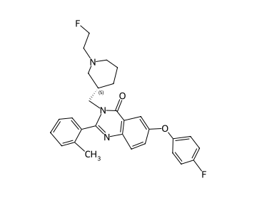 Cc1ccccc1-c1nc2ccc(Oc3ccc(F)cc3)cc2c(=O)n1C[C@H]1CCCN(CCF)C1